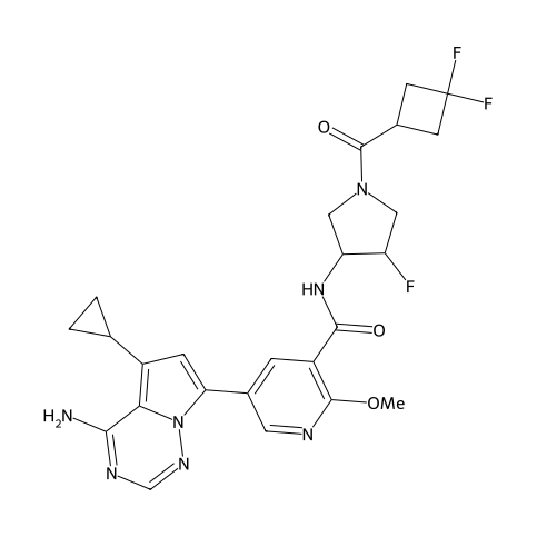 COc1ncc(-c2cc(C3CC3)c3c(N)ncnn23)cc1C(=O)NC1CN(C(=O)C2CC(F)(F)C2)CC1F